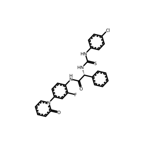 O=C(Nc1ccc(-n2ccccc2=O)cc1F)[C@H](NC(=S)Nc1ccc(Cl)cc1)c1ccccc1